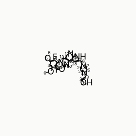 COc1cc(OC)c(F)c(N2Cc3cnc4[nH]c(CN5CCN(CCO)CC5)cc4c3N(C)C2=O)c1F